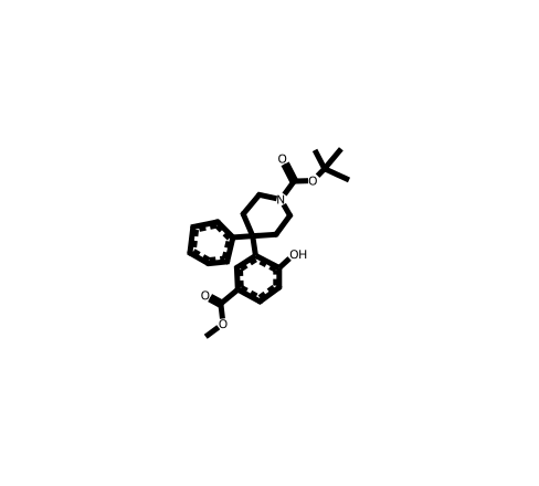 COC(=O)c1ccc(O)c(C2(c3ccccc3)CCN(C(=O)OC(C)(C)C)CC2)c1